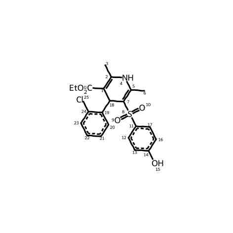 CCOC(=O)C1=C(C)NC(C)=C(S(=O)(=O)c2ccc(O)cc2)C1c1ccccc1Cl